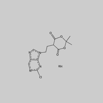 CC1(C)OC(=O)C(CCn2cnc3cnc(Cl)nc32)C(=O)O1.[KH]